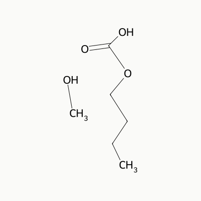 CCCCOC(=O)O.CO